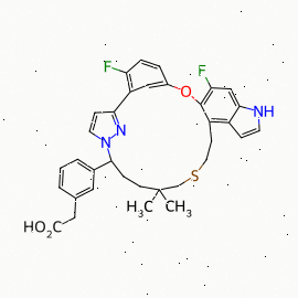 CC1(C)CCC(c2cccc(CC(=O)O)c2)n2ccc(n2)-c2cc(ccc2F)Oc2c(F)cc3[nH]ccc3c2CCSC1